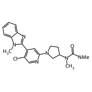 CNC(=O)N(C)C1CCN(c2cc(-c3nc4ccccc4n3C)c(Cl)cn2)C1